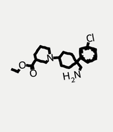 CCOC(=O)C1CCCN(C2CCC(CN)(c3cccc(Cl)c3)CC2)C1